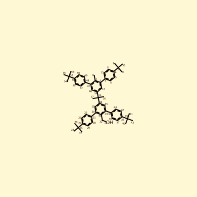 Cc1c(-c2ccc(C(C)(C)C)cc2)cc(C(C)(C)c2cc(-c3ccc(C(C)(C)C)cc3)c(CO)c(-c3ccc(C(C)(C)C)cc3)c2)cc1-c1ccc(C(C)(C)C)cc1